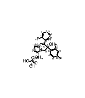 C[C@@H](c1ncncc1F)[C@](O)(Cn1cncn1)c1ccc(F)cc1F.O.O=P(O)(O)O